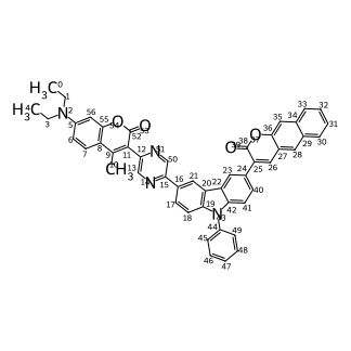 CCN(CC)c1ccc2c(C)c(-c3cnc(-c4ccc5c(c4)c4cc(-c6cc7cc8ccccc8cc7oc6=O)ccc4n5-c4ccccc4)cn3)c(=O)oc2c1